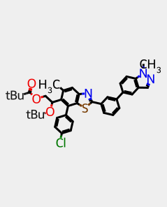 Cc1cc2nc(-c3cccc(-c4ccc5c(cnn5C)c4)c3)sc2c(-c2ccc(Cl)cc2)c1C(COC(=O)C(C)(C)C)OC(C)(C)C